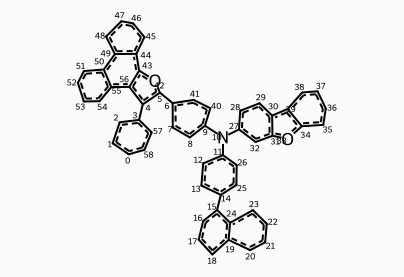 c1ccc(-c2c(-c3ccc(N(c4ccc(-c5cccc6ccccc56)cc4)c4ccc5c(c4)oc4ccccc45)cc3)oc3c4ccccc4c4ccccc4c23)cc1